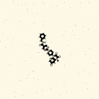 Cn1c(=O)c(=O)n(C2CCN(c3ncc(C(=O)NCC4CCCCC4)cn3)CC2)c2ncc(Cl)cc21